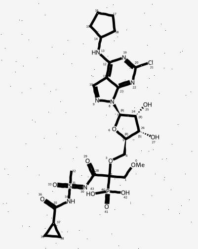 COCC(OC[C@H]1O[C@@H](n2ncc3c(NC4CCCC4)nc(Cl)nc32)[C@H](O)[C@@H]1O)(C(=O)N=S(C)(=O)NC(=O)C1CC1)P(=O)(O)O